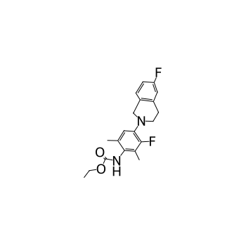 CCOC(=O)Nc1c(C)cc(N2CCc3cc(F)ccc3C2)c(F)c1C